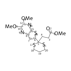 COC(=O)CCC1(c2cc3nc(OC)c(OC)nc3s2)SCCCS1